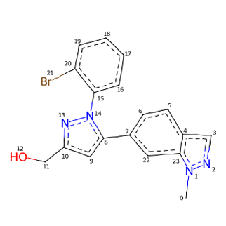 Cn1ncc2ccc(-c3cc(CO)nn3-c3ccccc3Br)cc21